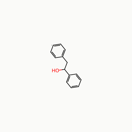 OC(Cc1cc[c]cc1)c1ccccc1